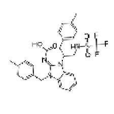 Cc1ccc(CC(CNS(=O)(=O)C(F)(F)F)n2/c(=N\C(=O)O)n(Cc3ccc(C)cc3)c3ccccc32)cc1